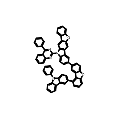 c1ccc(-c2nc(-n3c4ccc(-c5ccc6oc7cccc(-c8ccc9c(c8)c8ccccc8n9-c8ccccc8)c7c6c5)cc4c4cc5oc6ccccc6c5cc43)nc3ccccc23)cc1